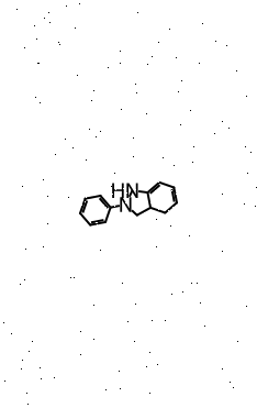 C1=CCC2CN(c3ccccc3)NC2=C1